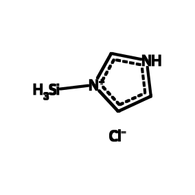 [Cl-].[SiH3][n+]1cc[nH]c1